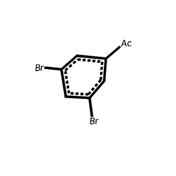 [CH2]C(=O)c1cc(Br)cc(Br)c1